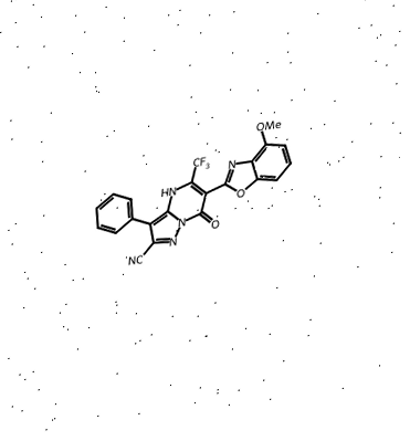 COc1cccc2oc(-c3c(C(F)(F)F)[nH]c4c(-c5ccccc5)c(C#N)nn4c3=O)nc12